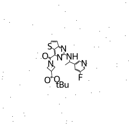 CC(Nc1nc(C(=O)N2CC(C(=O)OC(C)(C)C)C2)c2sccc2n1)c1cncc(F)c1